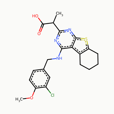 COc1ccc(CNc2nc(C(C)C(=O)O)nc3sc4c(c23)CCCC4)cc1Cl